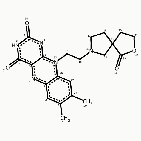 Cc1cc2nc3c(=O)[nH]c(=O)nc-3n(CCN3CCC4(CCOC4=O)C3)c2cc1C